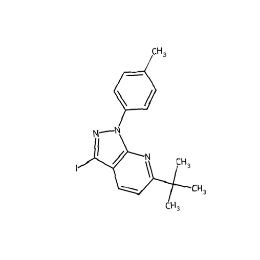 Cc1ccc(-n2nc(I)c3ccc(C(C)(C)C)nc32)cc1